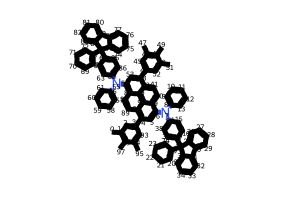 Cc1cc(-c2cc(N(c3ccccc3)c3ccc(C4(c5ccccc5)c5ccccc5-c5ccccc54)cc3)c3ccc4c(-c5cc(C)c(C)c(C)c5)cc(N(c5ccccc5)c5ccc(C6(c7ccccc7)c7ccccc7-c7ccccc76)cc5)c5ccc2c3c45)cc(C)c1C